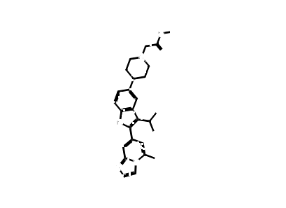 CNC(=O)CN1CCC(c2ccc3[nH]c(-c4cc(C)n5ccnc5c4)c(C(C)C)c3c2)CC1